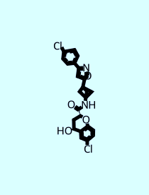 O=C(NC12CC(c3cc(-c4ccc(Cl)cc4)no3)(C1)C2)[C@H]1C[C@@H](O)c2cc(Cl)ccc2O1